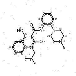 CC(C)Cn1c(=O)c(C(=O)Nc2ccccc2N2CCN(C)CC2)c(O)c2ccccc21